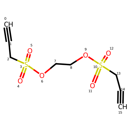 C#CCS(=O)(=O)OCCOS(=O)(=O)CC#C